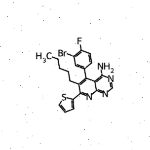 CCCCCc1c(-c2cccs2)nc2ncnc(N)c2c1-c1ccc(F)c(Br)c1